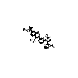 CCOC1(c2ccc([C@H](C)Nc3nccc(N4C(=O)OCC4[C@@H](C)OC(C)(C)C)n3)c(F)c2)CC1